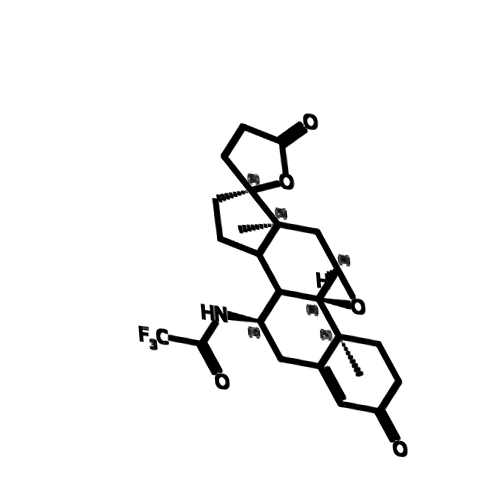 C[C@]12CCC(=O)C=C1C[C@@H](NC(=O)C(F)(F)F)C1C3CC[C@@]4(CCC(=O)O4)[C@@]3(C)C[C@H]3O[C@@]132